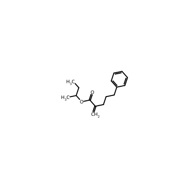 C=C(CCCc1ccccc1)C(=O)OC(C)CC